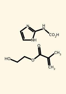 C=C(C)C(=O)OCCO.O=C(O)Nc1ncc[nH]1